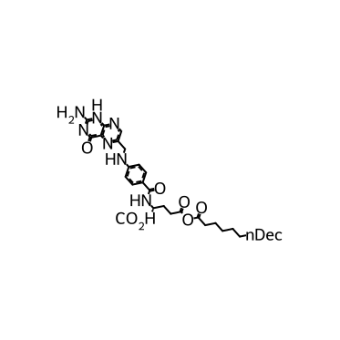 CCCCCCCCCCCCCCCC(=O)OC(=O)CC[C@H](NC(=O)c1ccc(NCc2cnc3[nH]c(N)nc(=O)c3n2)cc1)C(=O)O